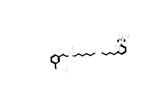 NS(=O)(=O)c1cccc(CCCCOCCCCCCNC[C@H](O)c2ccc(O)c(CO)c2)n1